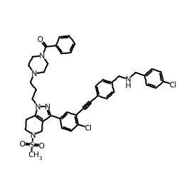 CS(=O)(=O)N1CCc2c(c(-c3ccc(Cl)c(C#Cc4ccc(CNCc5ccc(Cl)cc5)cc4)c3)nn2CCCN2CCN(C(=O)c3ccccc3)CC2)C1